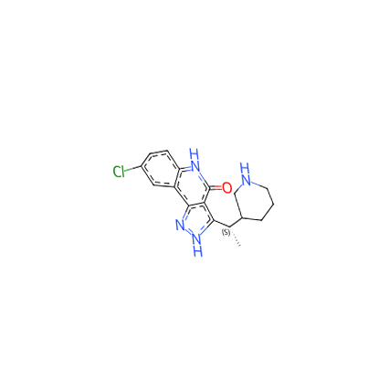 C[C@H](c1[nH]nc2c1c(=O)[nH]c1ccc(Cl)cc12)C1CCCNC1